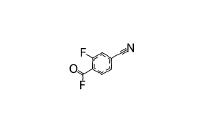 N#Cc1ccc(C(=O)F)c(F)c1